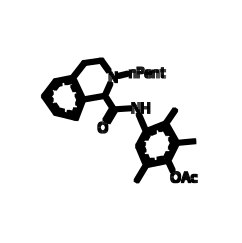 CCCCCN1CCc2ccccc2C1C(=O)Nc1cc(C)c(OC(C)=O)c(C)c1C